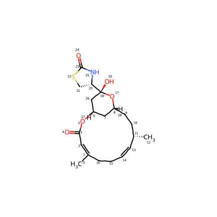 C/C1=C/C(=O)O[C@@H]2C[C@@H](CC[C@H](C)/C=C\CC1)O[C@@](O)([C@@H]1CSC(=O)N1)C2